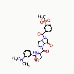 CC(C)CC(NC(=O)c1cccc(N(C)C)c1)C(=O)N1CCC2C1C(=O)CN2C(=O)c1cccc(S(C)(=O)=O)c1